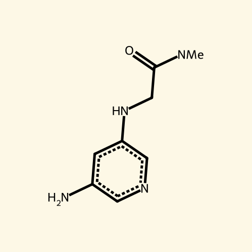 CNC(=O)CNc1cncc(N)c1